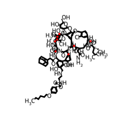 CCCCCCOc1ccc(S(=O)(=O)NCCNCc2c(O)cc3c(c2O)-c2cc(ccc2O)[C@H]2CC(=O)[C@@H]4NC(=O)[C@H](CC(N)=O)CC(=O)[C@H](NC(=O)[C@H](CC)CC(C)C)[C@H](O)c5ccc(c(Cl)c5)Oc5cc4cc(c5O[C@@H]4O[C@H](CO)[C@@H](O)[C@H](O)[C@H]4O[C@H]4C[C@H](N)[C@H](C)[C@H](C)O4)Oc4ccc(cc4Cl)[C@@H](O)[C@H](NC2=O)C(=O)N[C@@H]3C(=O)CC2C3CC4CC(C3)CC2C4)cc1